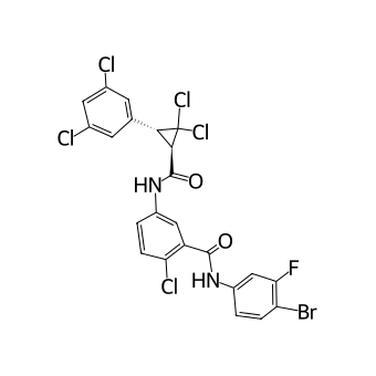 O=C(Nc1ccc(Br)c(F)c1)c1cc(NC(=O)[C@H]2[C@H](c3cc(Cl)cc(Cl)c3)C2(Cl)Cl)ccc1Cl